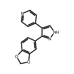 c1cc(-c2c[nH]nc2-c2ccc3c(c2)OCO3)ccn1